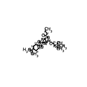 CCCS(=O)(=O)c1nc(S(=O)(=O)N2CCC(N(C)C)CC2)nn1COCC[Si](C)(C)C